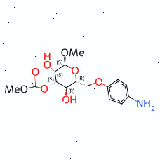 COC(=O)O[C@@H]1[C@H](O)[C@@H](OC)O[C@H](COc2ccc(N)cc2)[C@H]1O